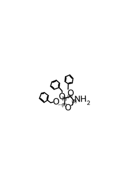 N[C@H]1CO[C@H](COCc2ccccc2)[C@H](OCc2ccccc2)[C@@H]1OCc1ccccc1